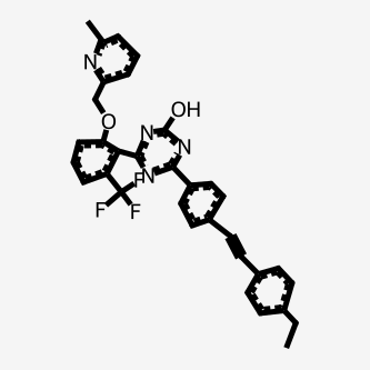 CCc1ccc(C#Cc2ccc(-c3nc(O)nc(-c4c(OCc5cccc(C)n5)cccc4C(F)(F)F)n3)cc2)cc1